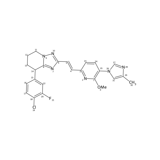 COc1nc(C=Cc2nc3n(n2)CCCC3c2ccc(Cl)c(F)c2)ccc1-n1cnc(C)c1